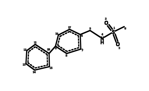 CS(=O)(=O)NCc1[c]cc(-c2ccccc2)cc1